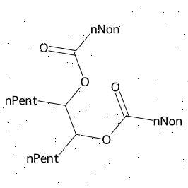 CCCCCCCCCC(=O)OC(CCCCC)C(CCCCC)OC(=O)CCCCCCCCC